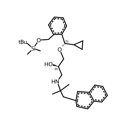 CC(C)(Cc1ccc2ccccc2c1)NC[C@@H](O)CO[C@H](c1ccccc1CO[Si](C)(C)C(C)(C)C)C1CC1